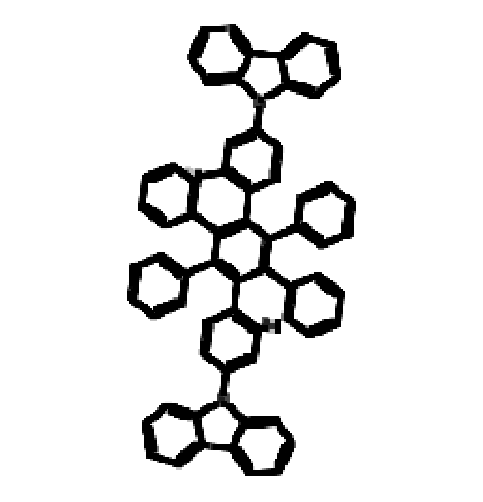 [2H]c1cc(-n2c3ccccc3c3ccccc32)ccc1-c1c(-c2ccccc2)c(-c2ccccc2)c(-c2ccc(-n3c4ccccc4c4ccccc43)cc2[2H])c(-c2ccccc2)c1-c1ccccc1